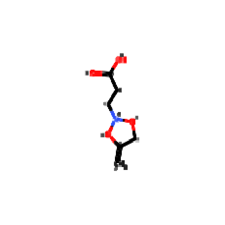 C=C1CON(CCC(=O)O)O1